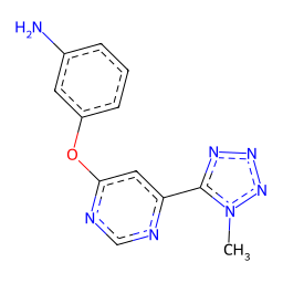 Cn1nnnc1-c1cc(Oc2cccc(N)c2)ncn1